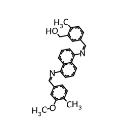 COc1cc(/C=N\c2cccc3c(/N=C\c4ccc(C)c(CO)c4)cccc23)ccc1C